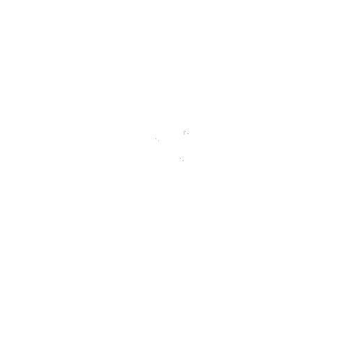 FC(F)(F)Oc1ccccc1-c1cnc(NC2CCCCC2)nc1